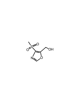 CS(=O)(=O)c1ncoc1CO